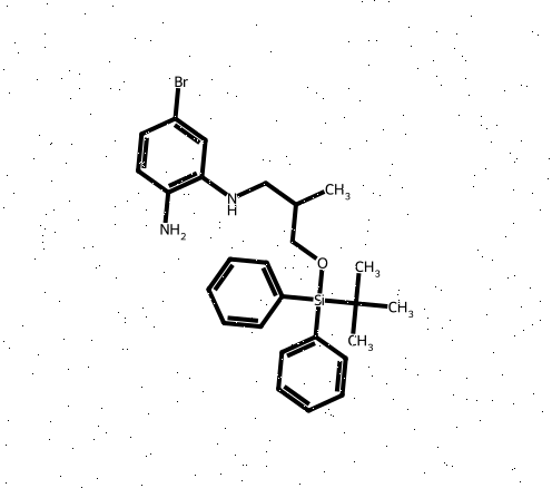 CC(CNc1cc(Br)ccc1N)CO[Si](c1ccccc1)(c1ccccc1)C(C)(C)C